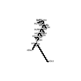 CCCCCCCC/C=C\CCCCCCCCCCCCCCCC(=O)N[C@@H](CO[C@@H]1OC(CO)[C@@H](O[C@@H]2OC(CO)[C@H](O)[C@H](O[C@@H]3OC(CO)[C@@H](O)[C@H](O[C@@H]4OC(CO)[C@H](O)[C@H](O[C@]5(C(=O)O)CC(O)[C@@H](NC(C)=O)C([C@H](O)[C@H](O)CO)O5)C4O)C3NC(C)=O)C2O)[C@H](O)C1O)[C@H](O)/C=C/CCCCCCCCCCCCC